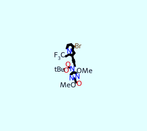 COC(=O)c1ncc(N(CC#Cc2cc3c(Br)cccn3c2CC(F)(F)F)C(=O)OC(C)(C)C)c(OC)n1